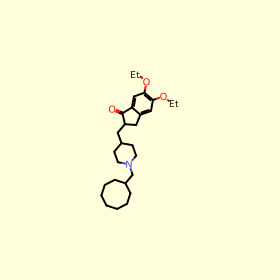 CCOc1cc2c(cc1OCC)C(=O)C(CC1CCN(CC3CCCCCCC3)CC1)C2